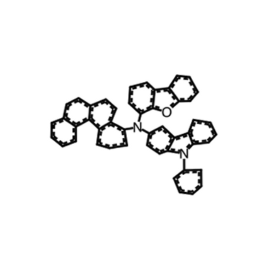 c1ccc(-n2c3ccccc3c3cc(N(c4cccc5c4ccc4ccc6ccccc6c45)c4cccc5c4oc4ccccc45)ccc32)cc1